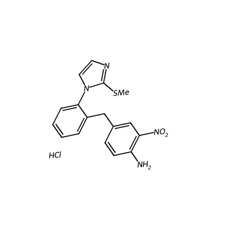 CSc1nccn1-c1ccccc1Cc1ccc(N)c([N+](=O)[O-])c1.Cl